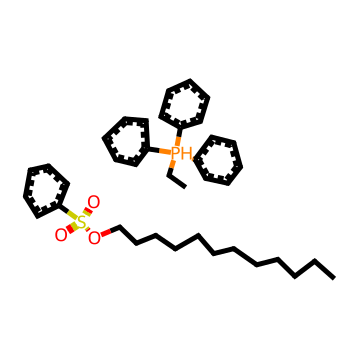 CCCCCCCCCCCCOS(=O)(=O)c1ccccc1.CC[PH](c1ccccc1)(c1ccccc1)c1ccccc1